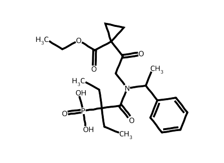 CCOC(=O)C1(C(=O)CN(C(=O)C(CC)(CC)P(=O)(O)O)C(C)c2ccccc2)CC1